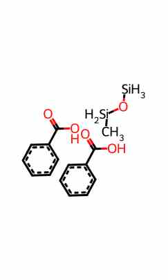 C[SiH2]O[SiH3].O=C(O)c1ccccc1.O=C(O)c1ccccc1